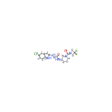 O=C(NCc1cc2cc(Cl)ccc2[nH]1)N[C@@H]1CCCN(C(=O)N2CC(F)(F)C2)C1